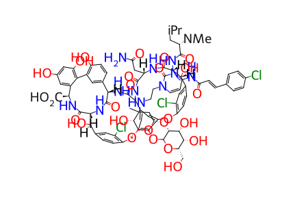 CN[C@@H](CC(C)C)C(=O)N[C@H]1C(=O)N[C@@H](CC(N)=O)C(=O)NC2C(=O)N[C@@H]3C(=O)N[C@@H](C(=O)N[C@@H](C(=O)O)c4cc(O)cc(O)c4-c4cc3ccc4O)[C@H](O)c3ccc(c(Cl)c3)Oc3cc2cc(c3OC2O[C@@H](CO)[C@@H](O)[C@@H](O)[C@H]2O[C@H]2CC(C)(NCCn3ccc(NC(=O)/C=C/c4ccc(Cl)cc4)nc3=O)[C@@H](O)[C@@H](C)O2)Oc2ccc(cc2Cl)[C@H]1O